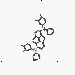 Cc1ccc(N(c2ccccc2)c2ccc3ccc4c(N(c5ccccc5)c5ccc(C)c(C)c5)ccc5c4c3c2C5)cc1C